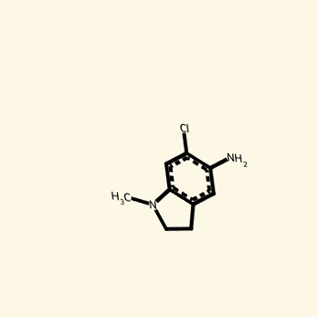 CN1CCc2cc(N)c(Cl)cc21